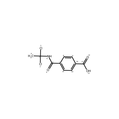 CC(Cl)(Cl)NC(=O)c1ccc(C(=O)O)cc1